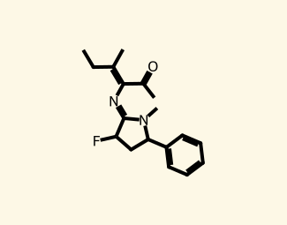 CC/C(C)=C(\N=C1\C(F)CC(c2ccccc2)N1C)C(C)=O